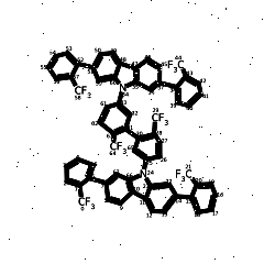 FC(F)(F)c1ccccc1-c1ccc2c3ccc(-c4ccccc4C(F)(F)F)cc3n(-c3ccc(C(F)(F)F)c(-c4cc(-n5c6cc(-c7ccccc7C(F)(F)F)ccc6c6ccc(-c7ccccc7C(F)(F)F)cc65)ccc4C(F)(F)F)c3)c2c1